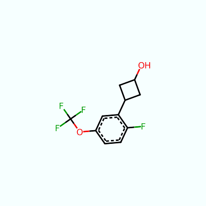 OC1CC(c2cc(OC(F)(F)F)ccc2F)C1